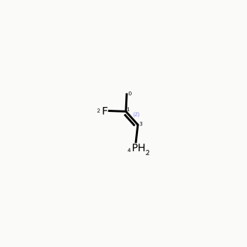 C/C(F)=C/P